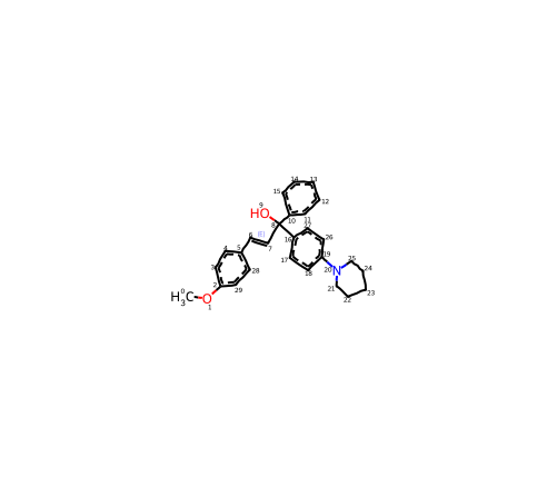 COc1ccc(/C=C/C(O)(c2ccccc2)c2ccc(N3CCCCC3)cc2)cc1